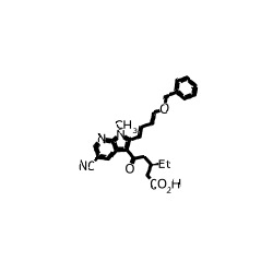 CC[C@@H](CC(=O)O)CC(=O)c1c(CCCCOCc2ccccc2)n(C)c2ncc(C#N)cc12